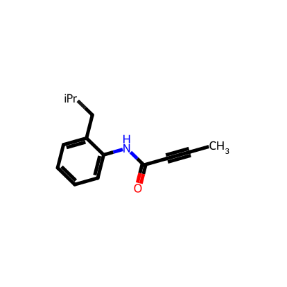 CC#CC(=O)Nc1ccccc1CC(C)C